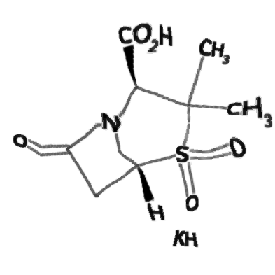 CC1(C)[C@H](C(=O)O)N2C(=O)C[C@H]2S1(=O)=O.[KH]